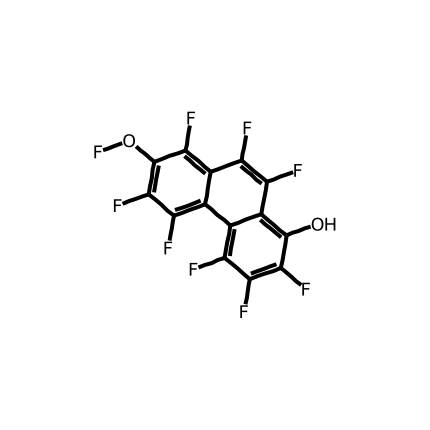 Oc1c(F)c(F)c(F)c2c1c(F)c(F)c1c(F)c(OF)c(F)c(F)c12